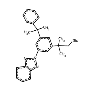 CC(C)(C)CC(C)(C)c1cc(-n2nc3ccccc3n2)[c]c(C(C)(C)c2ccccc2)c1